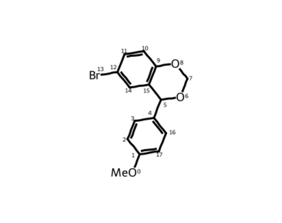 COc1ccc(C2OCOc3ccc(Br)cc32)cc1